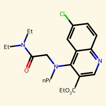 CCCN(CC(=O)N(CC)CC)c1c(C(=O)OCC)cnc2ccc(Cl)cc12